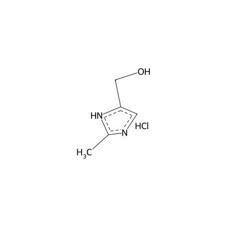 Cc1ncc(CO)[nH]1.Cl